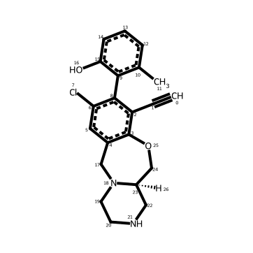 C#Cc1c2c(cc(Cl)c1-c1c(C)cccc1O)CN1CCNC[C@@H]1CO2